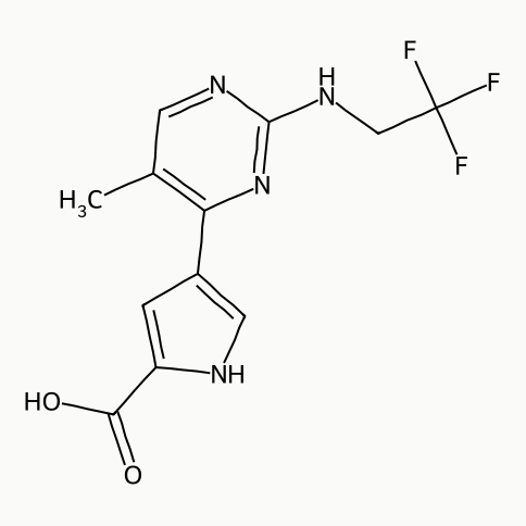 Cc1cnc(NCC(F)(F)F)nc1-c1c[nH]c(C(=O)O)c1